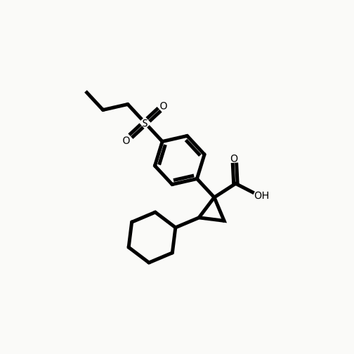 CCCS(=O)(=O)c1ccc(C2(C(=O)O)CC2C2CCCCC2)cc1